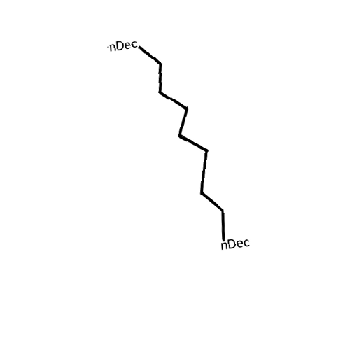 CCCCCCCCC[CH]CCCCCCCCCCCCCCCCC